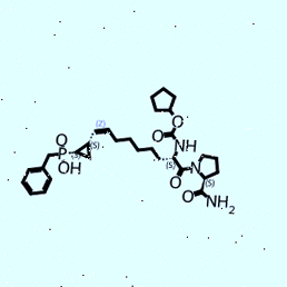 NC(=O)[C@@H]1CCCN1C(=O)[C@H](CCCCC/C=C\[C@@H]1C[C@@H]1P(=O)(O)Cc1ccccc1)NC(=O)OC1CCCC1